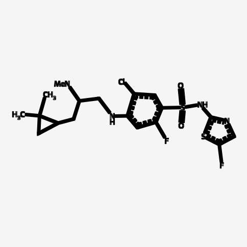 CNC(CNc1cc(F)c(S(=O)(=O)Nc2ncc(F)s2)cc1Cl)CC1CC1(C)C